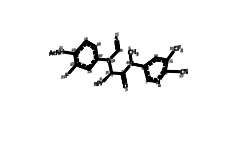 CCC[C@H](C(=O)N(C)c1cnc(C#N)c(C(F)(F)F)c1)N(C=S)c1ccc(NC(C)=O)c(F)c1